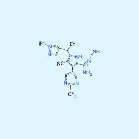 CCC(c1cnn(C(C)C)c1)c1[nH]c(/C(N)=N\C=N)c(-c2cnc(C(F)(F)F)nc2)c1C#N